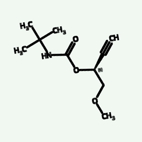 C#C[C@@H](COC)OC(=O)NC(C)(C)C